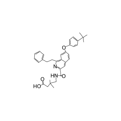 CC(C)(CNC(=O)c1cc2ccc(Oc3ccc(C(C)(C)C)cc3)cc2c(CCc2ccccc2)n1)CC(=O)O